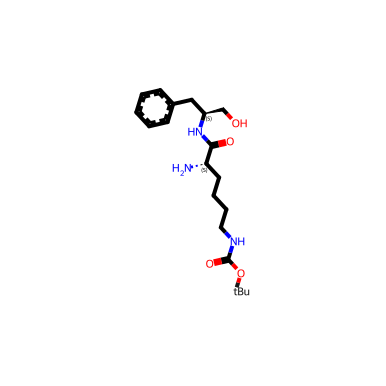 CC(C)(C)OC(=O)NCCCC[C@H](N)C(=O)N[C@H](CO)Cc1ccccc1